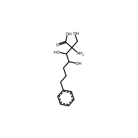 NC(CO)(C(=O)O)C(O)C(O)CCCc1ccccc1